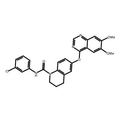 COc1cc2ncnc(Oc3ccc4c(c3)CCCN4C(=O)Nc3cccc(Cl)c3)c2cc1OC